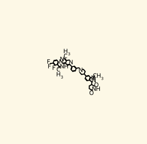 Cc1nnc(N[C@H](C)c2cccc(C(F)F)c2F)c2cc(-c3cccc(CN4CCC(c5ccc6c(C7CCC(=O)NC7=O)nn(C)c6c5)CC4)c3)ncc12